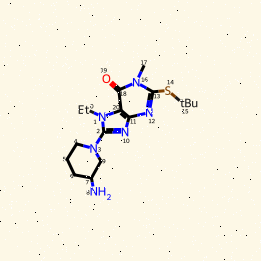 CCn1c(N2CCCC(N)C2)nc2nc(SC(C)(C)C)n(C)c(=O)c21